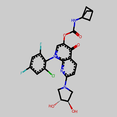 O=C(NC12CC(C1)C2)Oc1cn(-c2c(F)cc(F)cc2Cl)c2nc(N3C[C@@H](O)[C@H](O)C3)ccc2c1=O